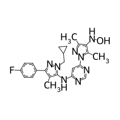 Cc1nn(-c2cc(Nc3c(C)c(-c4ccc(F)cc4)nn3CC3CC3)ncn2)c(C)c1NO